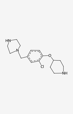 Clc1cc(CN2CCNCC2)ccc1OC1CCNCC1